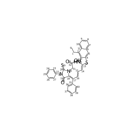 CCc1c2c(cc3ccccc13)SC(=CC=CC(=C1C(=O)N(c3ccccc3)C(=S)N1CC(=O)O)c1ccccc1)N2